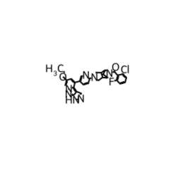 CCOc1cc(-c2ccc(N3CC4C(C3)C3CC4N3C(=O)c3c(F)cccc3Cl)nc2)c2c3cn[nH]c3nn2c1